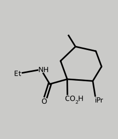 CCNC(=O)C1(C(=O)O)CC(C)CCC1C(C)C